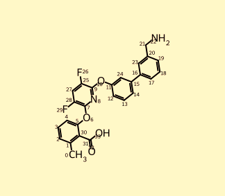 Cc1cccc(Oc2nc(Oc3cccc(-c4cccc(CN)c4)c3)c(F)cc2F)c1C(=O)O